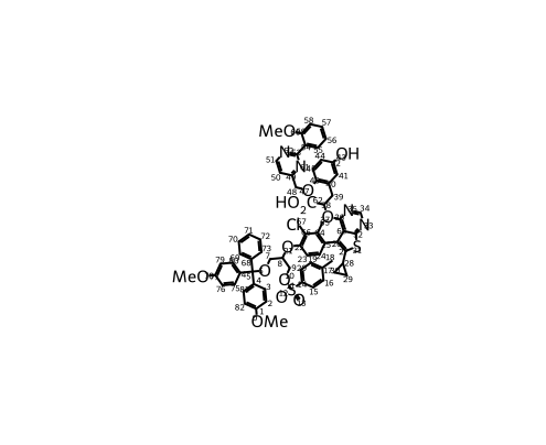 COc1ccc(C(OCC(COS(=O)(=O)c2ccc(C)cc2)Oc2ccc(-c3c(C4CC4)sc4ncnc(OC(Cc5cc(O)ccc5OCc5ccnc(-c6ccccc6OC)n5)C(=O)O)c34)c(C)c2Cl)(c2ccccc2)c2ccc(OC)cc2)cc1